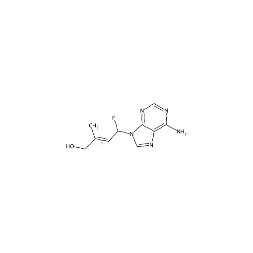 C/C(=C\C(F)n1cnc2c(N)ncnc21)CO